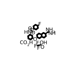 N=C(N)c1ccc2cc(Oc3cc(NS(=O)(=O)c4ccc(F)cc4)ccc3C(=O)O)ccc2c1.O=C(O)C(F)(F)F